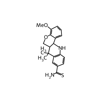 COc1cccc2c1OCC1C2Nc2ccc(C(N)=S)cc2C1(C)C